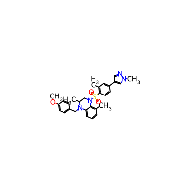 COc1ccc(CN2c3cccc(C)c3N(S(=O)(=O)c3ccc(-c4cnn(C)c4)cc3C)CC2C)cc1